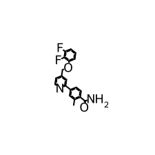 Cc1cc(-c2cc(COc3cccc(F)c3F)ccn2)ccc1C(N)=O